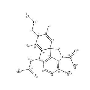 CCOCN1C(C)=CC(COC(=O)C(C)(C)C)(c2cccc([N+](=O)[O-])c2)C(COC(=O)C(C)(C)C)=C1C